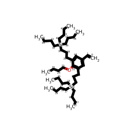 C=Cc1cc(CCC[Si](CCCC)(CCCC)CCCC)c(OCCCC)c(CCC[Si](CCCC)(CCCC)CCCC)c1